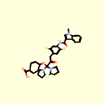 Cn1cc(C(=O)Nc2cc(F)c(CC(=O)C(OC3CCC(C(=O)O)CC3)(N3CCCC3)N3CCCC3F)cc2Cl)c2ccccc21